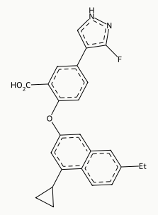 CCc1ccc2c(C3CC3)cc(Oc3ccc(-c4c[nH]nc4F)cc3C(=O)O)cc2c1